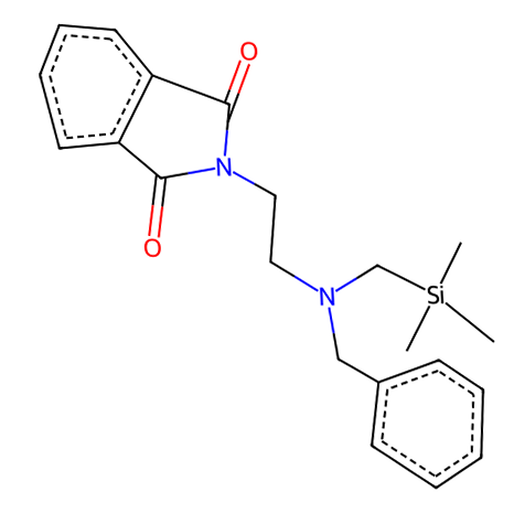 C[Si](C)(C)CN(CCN1C(=O)c2ccccc2C1=O)Cc1ccccc1